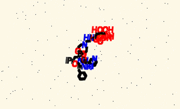 CC(C)CC(NC(=O)[C@@H](Cc1ccccc1)NC(=O)c1cnccn1)B1OCCN(CCNC(=O)CC(O)(C(O)O)P(=O)(O)O)CCO1